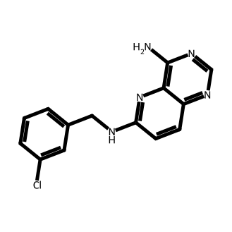 Nc1ncnc2ccc(NCc3cccc(Cl)c3)nc12